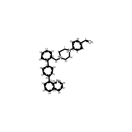 O=Cc1ccc(N2CCN(Cc3ccccc3-c3ccc(-c4cccc5cccnc45)cc3)CC2)cc1